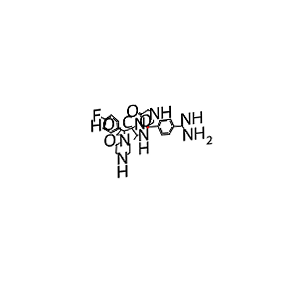 CC(NC(=O)c1ccc(C(=N)N)cc1)C(C(=O)O)(C(c1ccc(F)cc1)N1CCNCC1=O)N1CCNCC1=O